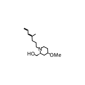 C=C/C=C(\C)CCCN1CC[C@@H](OC)C[C@H]1CO